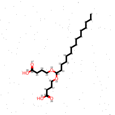 CCCCCCCCCCCCCCC(OCCCC(=O)O)OCCCC(=O)O